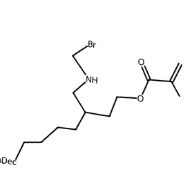 C=C(C)C(=O)OCCC(CCCCCCCCCCCCCC)CNCBr